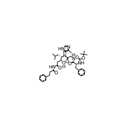 CC(C)C[C@H](NC(=O)[C@H](Cc1c[nH]cn1)NC(=O)[C@H](Cc1ccccc1)NC(=O)OC(C)(C)C)[C@@H](O)CC(=O)NC(=O)CCc1ccccc1